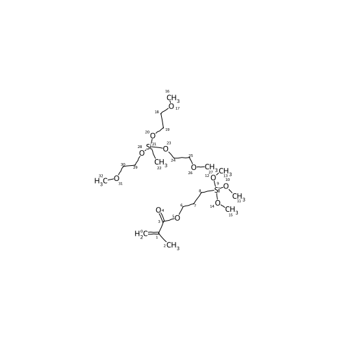 C=C(C)C(=O)OCCC[Si](OC)(OC)OC.COCCO[Si](C)(OCCOC)OCCOC